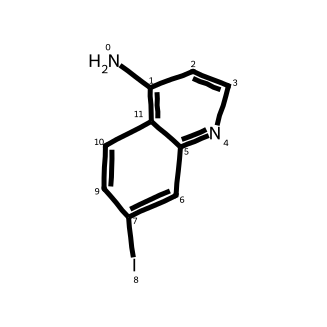 Nc1ccnc2cc(I)ccc12